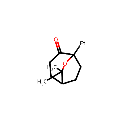 CCC12CCC(CCC1=O)C(C)(C)O2